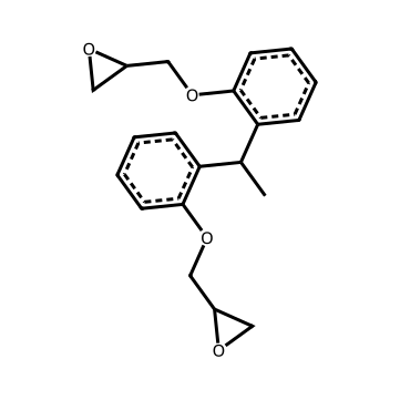 CC(c1ccccc1OCC1CO1)c1ccccc1OCC1CO1